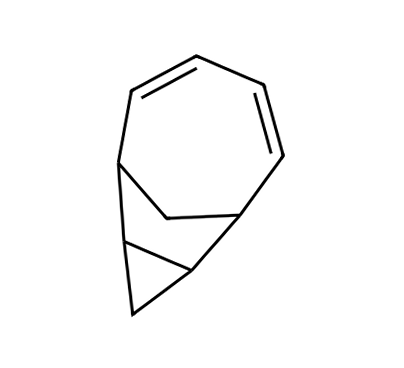 C1=CC2CC(C=C1)C1CC21